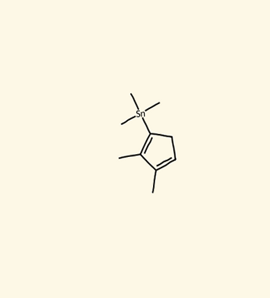 CC1=CC[C]([Sn]([CH3])([CH3])[CH3])=C1C